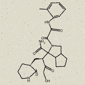 Cc1ccccc1NC(=O)C(=O)N1CC2CCCC2C1(C(N)=O)[C@H](C[C@@H]1CCCNC1=O)C(=O)CO